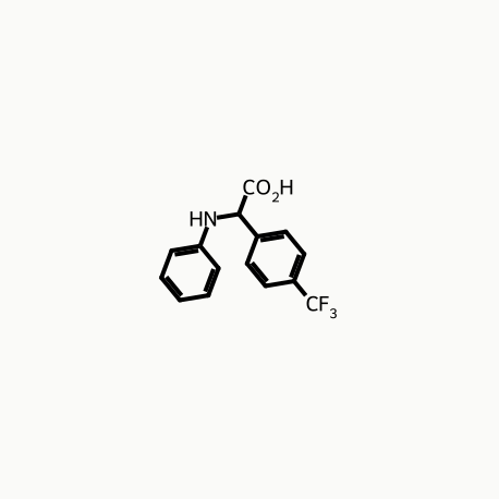 O=C(O)C(Nc1ccccc1)c1ccc(C(F)(F)F)cc1